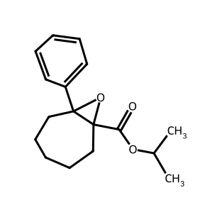 CC(C)OC(=O)C12CCCCCC1(c1ccccc1)O2